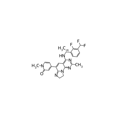 Cc1nc(N[C@H](C)c2cccc(C(F)F)c2F)c2c(n1)N1CCN=C1C(c1ccn(C)c(=O)c1)=C2